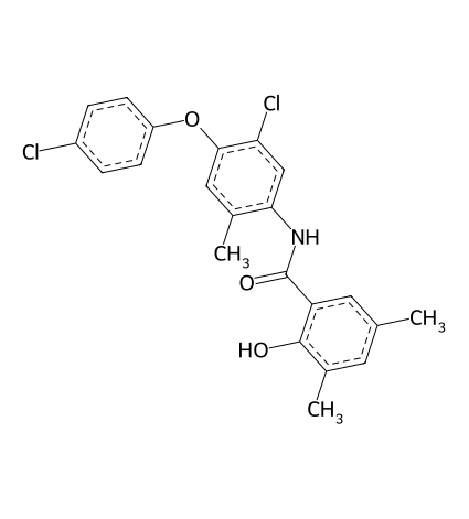 Cc1cc(C)c(O)c(C(=O)Nc2cc(Cl)c(Oc3ccc(Cl)cc3)cc2C)c1